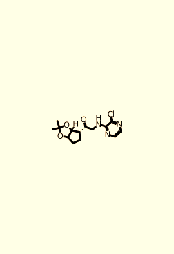 CC1(C)OC2CC[C@@H](C(=O)CNc3nccnc3Cl)[C@H]2O1